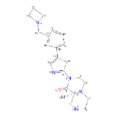 O=C1[C@@H]2CNCCN2CCN1c1ncc(-c2cccc(CN3CCC3)c2)s1